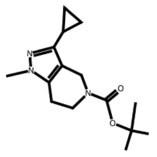 Cn1nc(C2CC2)c2c1CCN(C(=O)OC(C)(C)C)C2